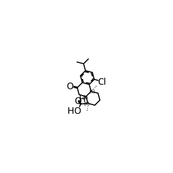 CC(C)c1cc(Cl)c2c(c1)C(=O)C[C@H]1[C@](C)(C(=O)O)CCC[C@]21C